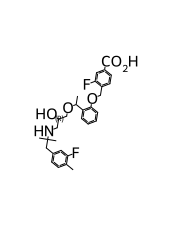 Cc1ccc(CC(C)(C)NC[C@@H](O)COC(C)c2ccccc2OCc2ccc(C(=O)O)cc2F)cc1F